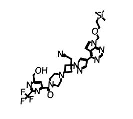 C[Si](C)(C)CCOCn1ccc2c(-c3cnn(C4(CC#N)CC(N5CCN(C(=O)c6cc(CO)nc(C(F)(F)F)n6)CC5)C4)c3)ncnc21